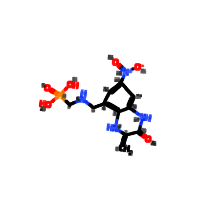 C=C1Nc2c(CNCP(=O)(O)O)cc([N+](=O)[O-])cc2NC1=O